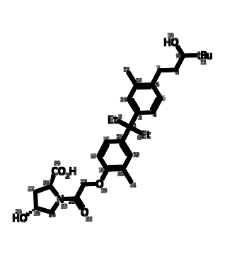 CCC(CC)(c1ccc(CCC(O)C(C)(C)C)c(C)c1)c1ccc(OCC(=O)N2C[C@H](O)C[C@H]2C(=O)O)c(C)c1